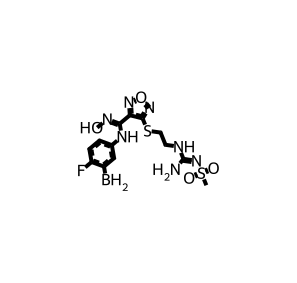 Bc1cc(N/C(=N\O)c2nonc2SCCN/C(N)=N/S(C)(=O)=O)ccc1F